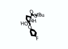 CC(C)(C)OC(=O)[C@@H]1CCC(O)(COc2ccc(F)cc2)N1